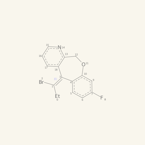 CC/C(Br)=C1\c2ccc(F)cc2OCc2ncccc21